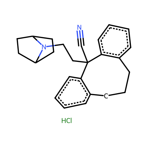 Cl.N#CC1(CCN2C3CCC2CC3)c2ccccc2CCCc2ccccc21